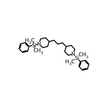 C[Si](C)(c1ccccc1)N1CCC(CCCC2CCN([Si](C)(C)c3ccccc3)CC2)CC1